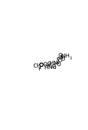 NS(=O)(=O)C1CCC(C(=O)NC2CC(NC(=O)COc3ccc(Cl)c(F)c3)C3CC2C3)O1